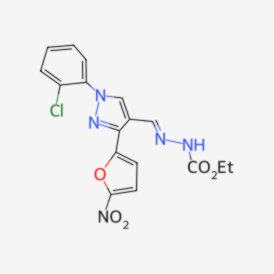 CCOC(=O)N/N=C/c1cn(-c2ccccc2Cl)nc1-c1ccc([N+](=O)[O-])o1